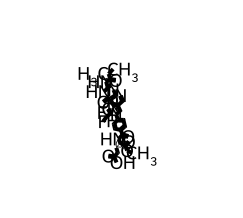 COC(=O)[C@H](CCC(=O)O)NC(=O)c1ccc(N(Cc2cnc3nc(NC(=O)C(C)C)[nH]c(=O)c3n2)C(=O)C(F)(F)F)cc1